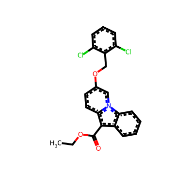 CCOC(=O)c1c2ccccc2n2cc(OCc3c(Cl)cccc3Cl)ccc12